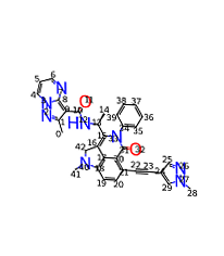 Cc1nn2cccnc2c1C(=O)N[C@@H](C)c1c2c3c(ccc(C#Cc4cnn(C)c4)c3c(=O)n1-c1ccccc1)N(C)C2